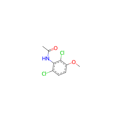 COc1ccc(Cl)c(NC(C)=O)c1Cl